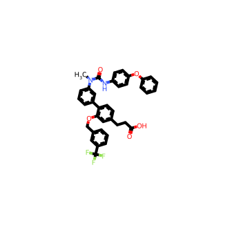 CN(C(=O)Nc1ccc(Oc2ccccc2)cc1)c1cccc(-c2ccc(CCC(=O)O)cc2OCc2cccc(C(F)(F)F)c2)c1